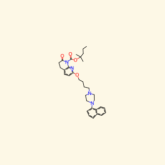 CCCC(C)(C)OC(=O)N1C(=O)CCc2ccc(OCCCCN3CCN(c4cccc5ccccc45)CC3)nc21